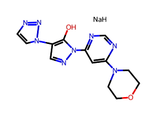 Oc1c(-n2ccnn2)cnn1-c1cc(N2CCOCC2)ncn1.[NaH]